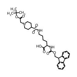 CC(C)(C)OC(=O)CN1CCC(S(=O)(=O)NCCCCC(NC(=O)OCC2c3ccccc3-c3ccccc32)C(=O)O)CC1